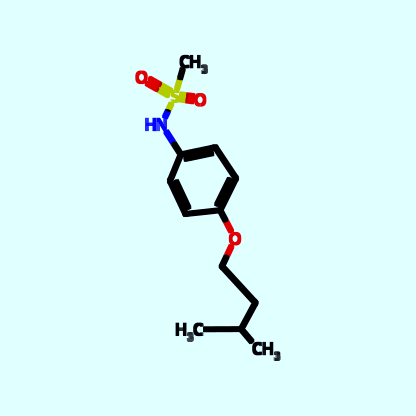 CC(C)CCOc1ccc(NS(C)(=O)=O)cc1